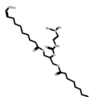 CCCCCCCC/C=C\CCCCCCCC(=O)OCC(COC(=O)CCCCCCC/C=C\CCCCCCCC)OC(=O)NCCN(C(C)C)C(C)C